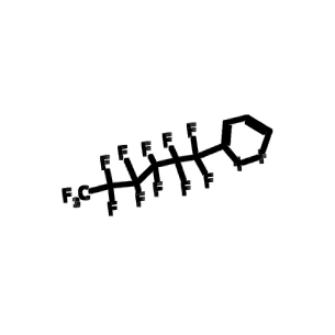 FC(F)(F)C(F)(F)C(F)(F)C(F)(F)C(F)(F)C(F)(F)C1=CC=C[I][I]1